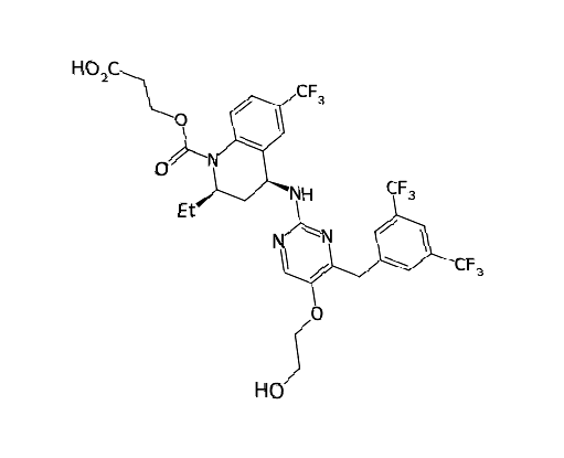 CC[C@@H]1C[C@H](Nc2ncc(OCCO)c(Cc3cc(C(F)(F)F)cc(C(F)(F)F)c3)n2)c2cc(C(F)(F)F)ccc2N1C(=O)OCCC(=O)O